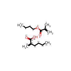 C=C(C)C(=O)OCCCC.C=C(CCCC)C(=O)O